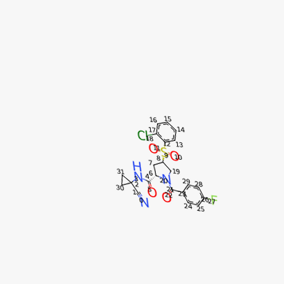 N#CC1(NC(=O)[C@@H]2C[C@@H](S(=O)(=O)c3ccccc3Cl)CN2C(=O)c2ccc(F)cc2)CC1